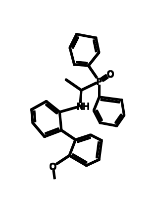 COc1ccccc1-c1ccccc1NC(C)P(=O)(c1ccccc1)c1ccccc1